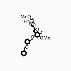 COc1cc(OCc2cccc(OCc3ccccc3)c2)c2cc(-c3cn4c(n3)SC(OC)N4)oc2c1Cl